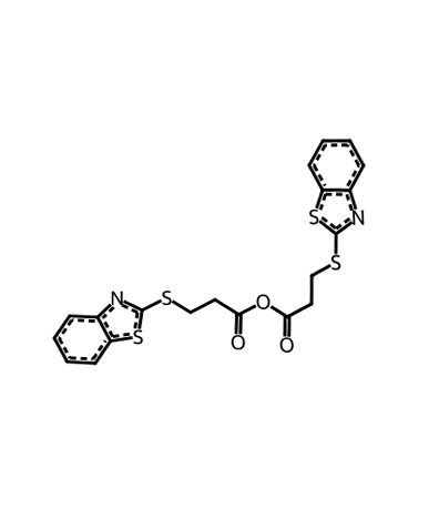 O=C(CCSc1nc2ccccc2s1)OC(=O)CCSc1nc2ccccc2s1